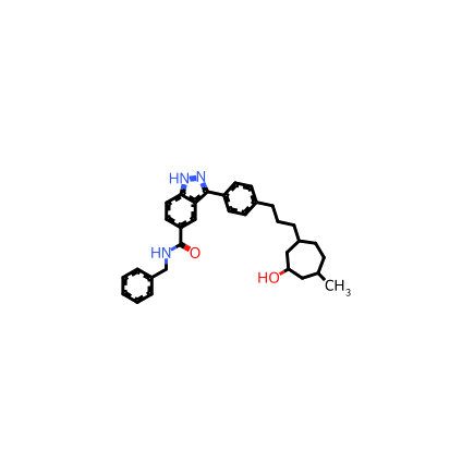 CC1CCC(CCCc2ccc(-c3n[nH]c4ccc(C(=O)NCc5ccccc5)cc34)cc2)CC(O)C1